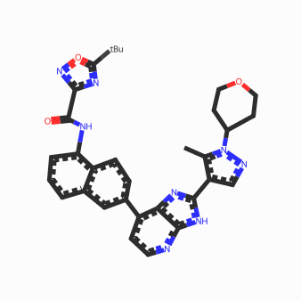 Cc1c(-c2nc3c(-c4ccc5c(NC(=O)c6noc(C(C)(C)C)n6)cccc5c4)ccnc3[nH]2)cnn1C1CCOCC1